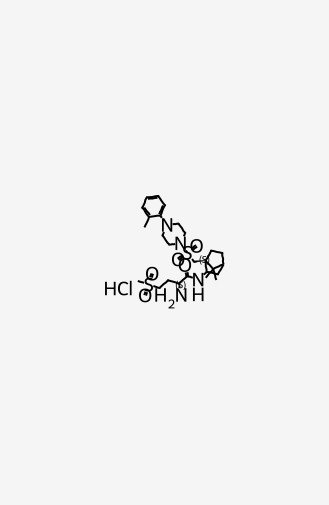 Cc1ccccc1N1CCN(S(=O)(=O)C[C@]23CCC(CC2NC(=O)[C@@H](N)CCS(C)(=O)=O)C3(C)C)CC1.Cl